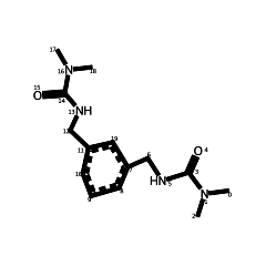 CN(C)C(=O)NCc1cccc(CNC(=O)N(C)C)c1